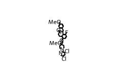 COc1ccc(CN2C(=O)CCc3c(OCC4(OC)CCN(c5ncc(Cl)cc5Cl)CC4)ccc(F)c32)cc1